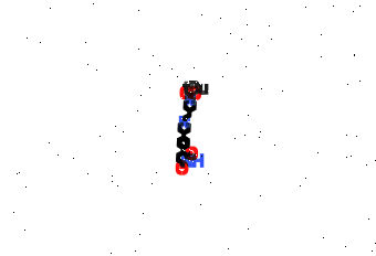 CC(C)(C)OC(=O)N1CCC(CCN2CCC(c3ccc(C4CCC(=O)NC4=O)cc3)CC2)CC1